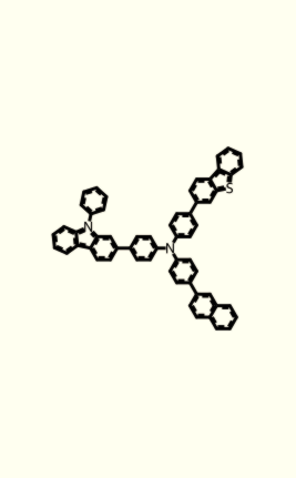 c1ccc(-n2c3ccccc3c3ccc(-c4ccc(N(c5ccc(-c6ccc7ccccc7c6)cc5)c5ccc(-c6ccc7c(c6)sc6ccccc67)cc5)cc4)cc32)cc1